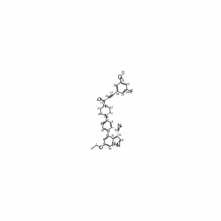 CCOc1cc(-c2ccc(N3CCN(C(=O)C#Cc4cc(F)cc(OC)c4)CC3)nc2)c2c(C#N)cnn2c1